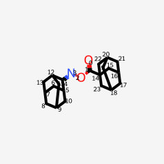 O=C(ON=C1C2CC3CC(C2)CC1C3)C12CC3CC(CC(C3)C1)C2